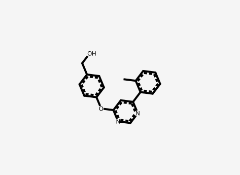 Cc1ccccc1-c1cc(Oc2ccc(CO)cc2)ncn1